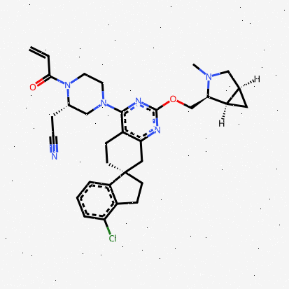 C=CC(=O)N1CCN(c2nc(OC[C@@H]3[C@@H]4C[C@@H]4CN3C)nc3c2CC[C@@]2(CCc4c(Cl)cccc42)C3)C[C@@H]1CC#N